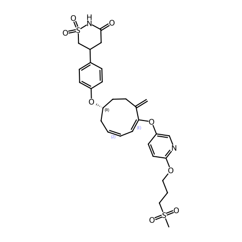 C=C1CC[C@@H](Oc2ccc(C3CC(=O)NS(=O)(=O)C3)cc2)C/C=C\C=C/1Oc1ccc(OCCCS(C)(=O)=O)nc1